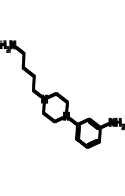 NCCCCN1CCN(c2cccc(N)c2)CC1